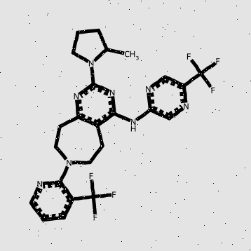 CC1CCCN1c1nc2c(c(Nc3cnc(C(F)(F)F)cn3)n1)CCN(c1ncccc1C(F)(F)F)CC2